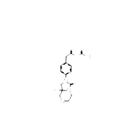 CC12CNCCN1C(=O)N(c1ccc(CC(=O)OC(=O)C(F)(F)F)cc1)C2